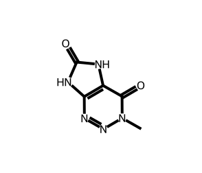 Cn1nnc2[nH]c(=O)[nH]c2c1=O